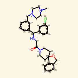 CN1CCN(Cc2cccc(C(NCC(=O)N3CCC4(CC3)OCc3ccccc34)c3cccc(Cl)c3)c2)CC1